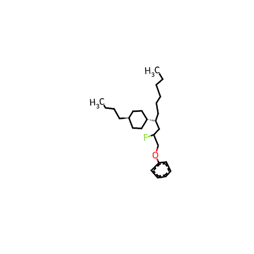 CCCCCCC(CC(F)COc1ccccc1)[C@H]1CC[C@H](CCCC)CC1